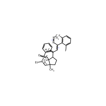 C=C(/C=C(\N=N/C)c1c(F)cccc1F)C1CCC(C)(CN(CC)S(=O)(=O)c2ccccc2)C1(C)C